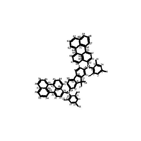 Cc1cc(C)c(N(c2ccc3c(c2)C(C)(C)c2cc(N(c4c(C)cc(C)cc4C)c4ccc5c6cccc7cccc(c8cccc4c85)c76)ccc2-3)c2ccc3c4cccc5cccc(c6cccc2c63)c54)c(C)c1